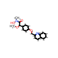 COC(C(=O)N(C)O)c1ccc(OCc2ccc3ccccc3n2)cc1